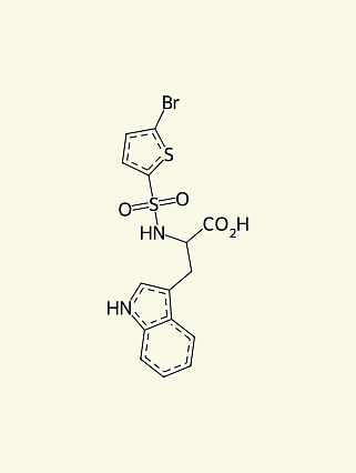 O=C(O)C(Cc1c[nH]c2ccccc12)NS(=O)(=O)c1ccc(Br)s1